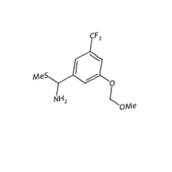 COCOc1cc(C(N)SC)cc(C(F)(F)F)c1